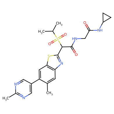 Cc1ncc(-c2cc3sc(C(C(=O)NCC(=O)NC4CC4)S(=O)(=O)C(C)C)nc3cc2C)cn1